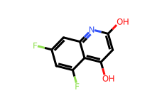 Oc1cc(O)c2c(F)cc(F)cc2n1